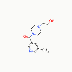 Cc1cncc(C(=O)N2CCN(CCO)CC2)c1